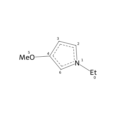 CCn1ccc(OC)c1